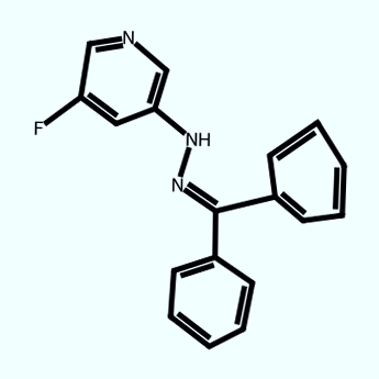 Fc1cncc(NN=C(c2ccccc2)c2ccccc2)c1